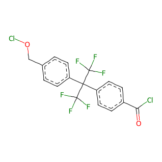 O=C(Cl)c1ccc(C(c2ccc(COCl)cc2)(C(F)(F)F)C(F)(F)F)cc1